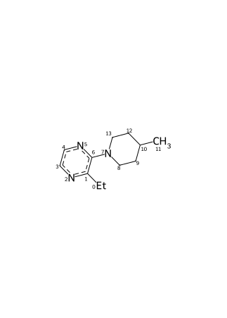 CCc1nccnc1N1CCC(C)CC1